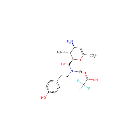 CCCN(CCc1ccc(O)cc1)C(=O)[C@@H]1OC(C(=O)O)=C[C@H](N)[C@H]1NC(C)=O.O=C(O)C(F)(F)F